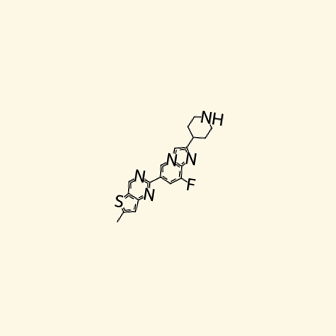 Cc1cc2nc(-c3cc(F)c4nc(C5CCNCC5)cn4c3)ncc2s1